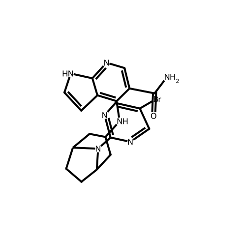 NC(=O)c1cnc2[nH]ccc2c1NC1CC2CCC(C1)N2c1ncc(Br)cn1